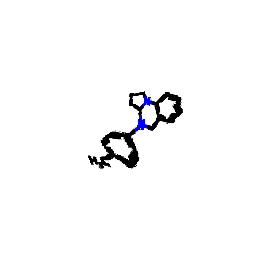 Cc1ccc(N2Cc3ccccc3N3CCCC23)cc1